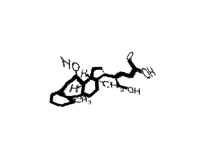 C[C@]12CC[C@H]3[C@@H]([C@@H](O)CC4CCCC[C@@]43C)[C@@H]1CC[C@@H]2[C@H](CO)CCC(=O)O